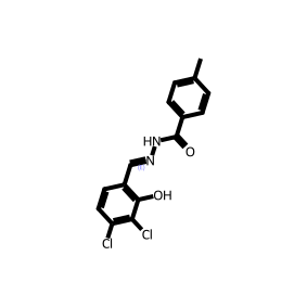 Cc1ccc(C(=O)N/N=C/c2ccc(Cl)c(Cl)c2O)cc1